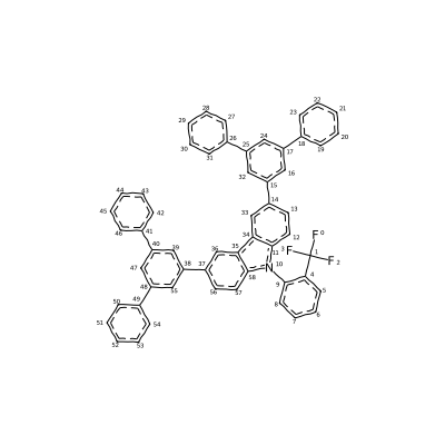 FC(F)(F)c1ccccc1-n1c2ccc(-c3cc(-c4ccccc4)cc(-c4ccccc4)c3)cc2c2cc(-c3cc(-c4ccccc4)cc(-c4ccccc4)c3)ccc21